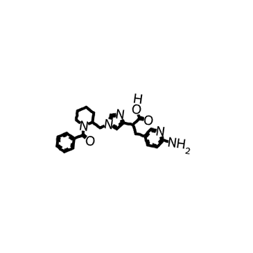 Nc1ccc(CC(C(=O)O)c2cn(CC3CCCCN3C(=O)c3ccccc3)cn2)cn1